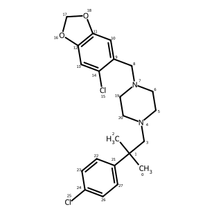 CC(C)(CN1CCN(Cc2cc3c(cc2Cl)OCO3)CC1)c1ccc(Cl)cc1